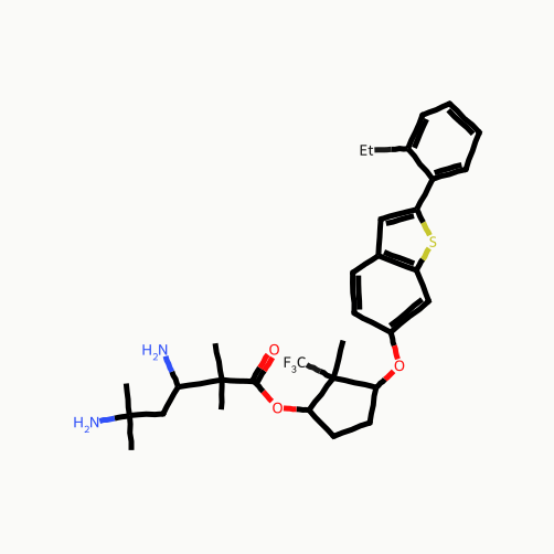 CCc1ccccc1-c1cc2ccc(OC3CCC(OC(=O)C(C)(C)C(N)CC(C)(C)N)C3(C)C(F)(F)F)cc2s1